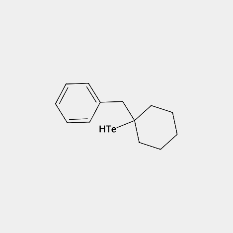 [TeH]C1(Cc2ccccc2)CCCCC1